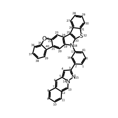 c1cc(-c2cc3cc4ccccc4cn3n2)cc(-n2c3cc4c(cc3c3c5ccccc5sc32)oc2ccccc24)c1